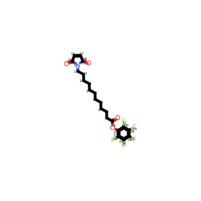 O=C(CCCCCCCCCCCN1C(=O)C=CC1=O)Oc1c(F)c(F)c(F)c(F)c1F